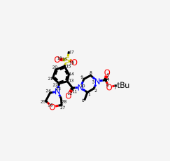 CC1CN(C(=O)OC(C)(C)C)CCN1C(=O)c1cc(S(C)(=O)=O)ccc1N1CCOCC1